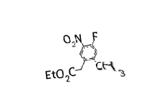 CCOC(=O)Cc1cc([N+](=O)[O-])c(F)cc1C